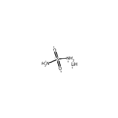 NS(N)(=O)=O.[LiH]